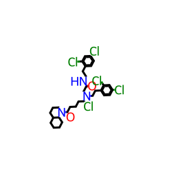 O=C(CN(CCc1ccc(Cl)cc1Cl)C(Cl)CCCC(=O)N1CCCC2CCCCC21)NCCc1ccc(Cl)cc1Cl